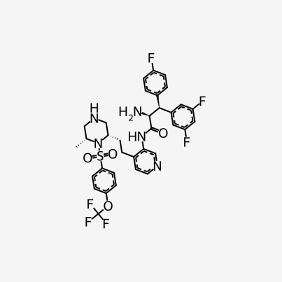 C[C@@H]1CNC[C@H](CCc2ccncc2NC(=O)[C@@H](N)[C@@H](c2ccc(F)cc2)c2cc(F)cc(F)c2)N1S(=O)(=O)c1ccc(OC(F)(F)F)cc1